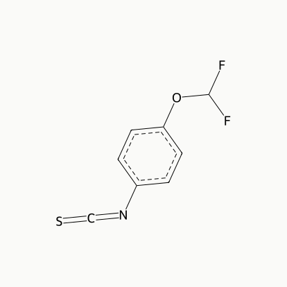 FC(F)Oc1ccc(N=C=S)cc1